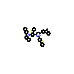 C=C1c2ccccc2-c2cc(C3=NC(c4ccc5c(c4)sc4ccccc45)=NC(c4ccc(-n5c6cc7ccccc7cc6c6ccc7ccccc7c65)c5sc6ccccc6c45)=CC3)ccc21